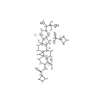 C/C=C1\C(OC(=O)N2CCC2)CCC23CC24CCC2(C)C5C(OC(C(O)C(C)(C)O)C[C@H]5C)[C@H](OC(=O)N5CCC5)[C@@]2(C)C4CC[C@@H]13